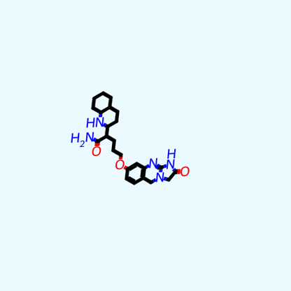 NC(=O)C(CCCOc1ccc2c(c1)N=C1NC(=O)CN1C2)C1CCC2CCCCC2N1